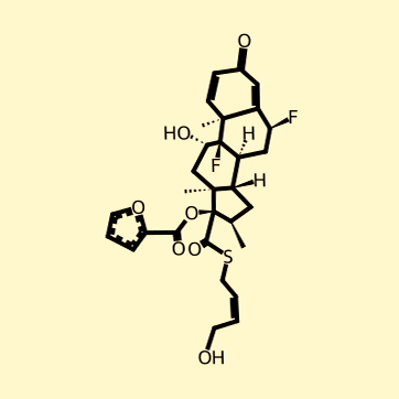 C[C@@H]1C[C@H]2[C@@H]3C[C@H](F)C4=CC(=O)C=C[C@]4(C)[C@@]3(F)[C@@H](O)C[C@]2(C)[C@@]1(OC(=O)c1ccco1)C(=O)SC/C=C\CO